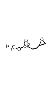 CO[SiH2]CC1CO1